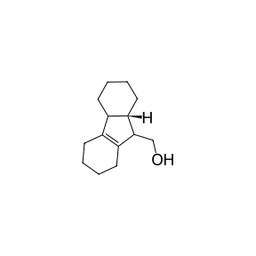 OCC1C2=C(CCCC2)C2CCCC[C@H]12